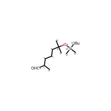 CC(C=O)CCCC(C)(C)O[Si](C)(C)C(C)(C)C